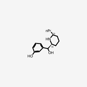 CCC[C@H]1CCC[C@@H](C(O)c2cccc(O)c2)N1